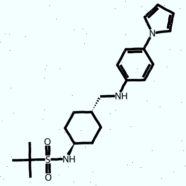 CC(C)(C)S(=O)(=O)N[C@H]1CC[C@H](CNc2ccc(-n3cccc3)cc2)CC1